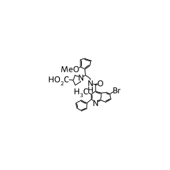 COc1ccccc1C(CNC(=O)c1c(C)c(-c2ccccc2)nc2ccc(Br)cc12)N1CCC(C(=O)O)C1